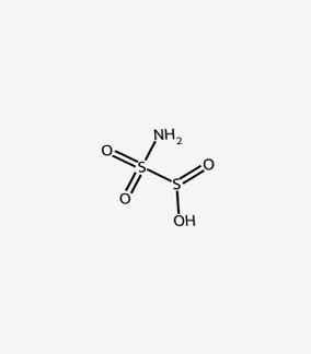 NS(=O)(=O)S(=O)O